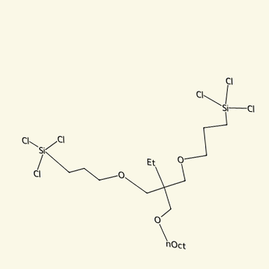 CCCCCCCCOCC(CC)(COCCC[Si](Cl)(Cl)Cl)COCCC[Si](Cl)(Cl)Cl